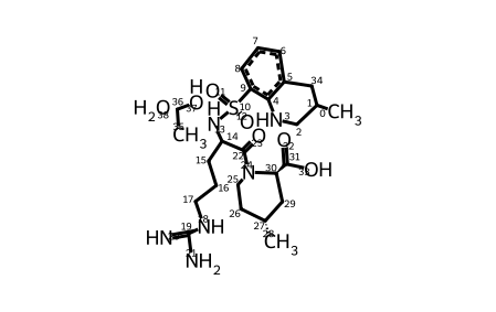 CC1CNc2c(cccc2S(=O)(=O)NC(CCCNC(=N)N)C(=O)N2CC[C@@H](C)C[C@@H]2C(=O)O)C1.CCO.O